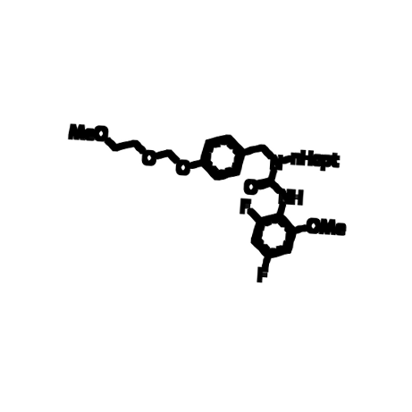 CCCCCCCN(Cc1ccc(OCOCCOC)cc1)C(=O)Nc1c(F)cc(F)cc1OC